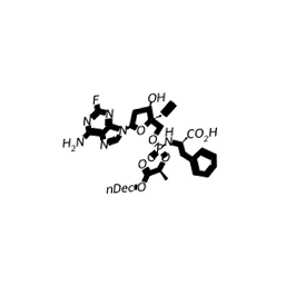 C#C[C@]1(CO[P@@](=O)(N[C@@H](Cc2ccccc2)C(=O)O)O[C@@H](C)C(=O)OCCCCCCCCCC)O[C@@H](n2cnc3c(N)nc(F)nc32)C[C@@H]1O